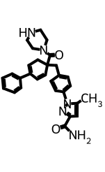 Cc1cc(C(N)=O)nn1-c1ccc(CC2(C(=O)N3CCNCC3)C=CC(c3ccccc3)=CC2)cc1